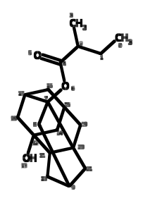 CCC(C)C(=O)OC12CC3CC4C5(O)CC(CC1C5)CC42C3